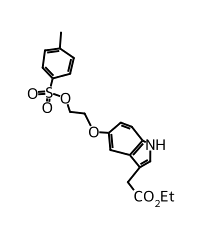 CCOC(=O)Cc1c[nH]c2ccc(OCCOS(=O)(=O)c3ccc(C)cc3)cc12